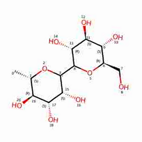 C[C@@H]1O[C](C2O[C@H](CO)[C@@H](O)[C@H](O)[C@H]2O)[C@H](O)[C@H](O)[C@H]1O